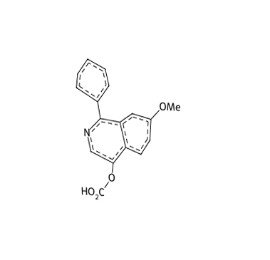 COc1ccc2c(OC(=O)O)cnc(-c3ccccc3)c2c1